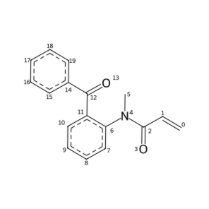 C=CC(=O)N(C)c1ccccc1C(=O)c1ccccc1